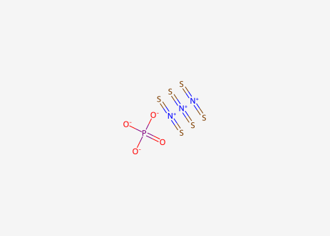 O=P([O-])([O-])[O-].S=[N+]=S.S=[N+]=S.S=[N+]=S